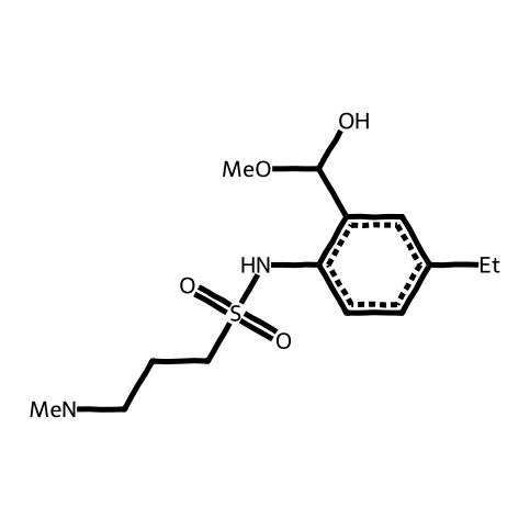 CCc1ccc(NS(=O)(=O)CCCNC)c(C(O)OC)c1